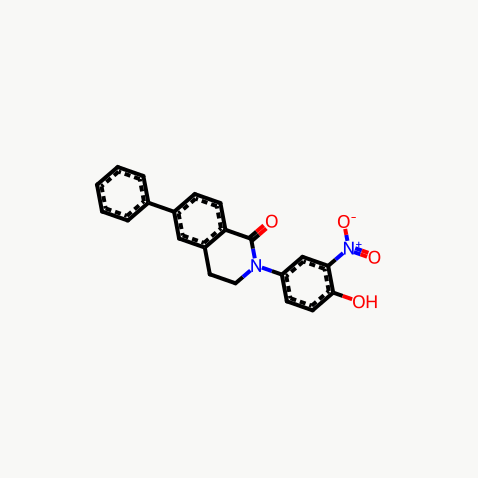 O=C1c2ccc(-c3ccccc3)cc2CCN1c1ccc(O)c([N+](=O)[O-])c1